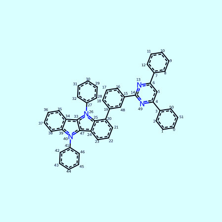 c1ccc(-c2cc(-c3ccccc3)nc(-c3cccc(-c4cccc5c4n(-c4ccccc4)c4c6ccccc6n(-c6ccccc6)c54)c3)n2)cc1